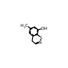 Cc1cc(O)c2c(c1)CC=NS2